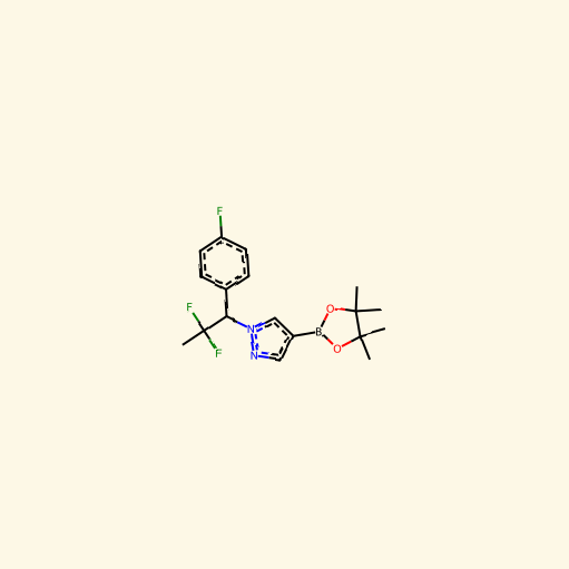 CC(F)(F)C(c1ccc(F)cc1)n1cc(B2OC(C)(C)C(C)(C)O2)cn1